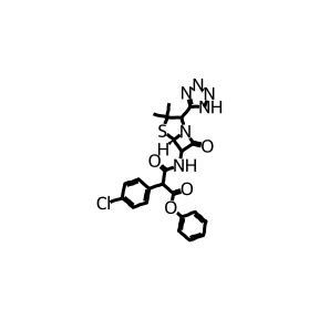 CC1(C)S[C@H]2C(NC(=O)C(C(=O)Oc3ccccc3)c3ccc(Cl)cc3)C(=O)N2C1c1nnn[nH]1